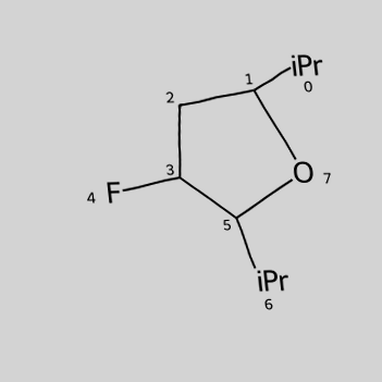 CC(C)C1CC(F)C(C(C)C)O1